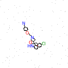 N#Cc1ccc(OCCCN2CCC(C3(Cc4cccc(Cl)c4)C(=O)Nc4ccccc43)CC2)cc1